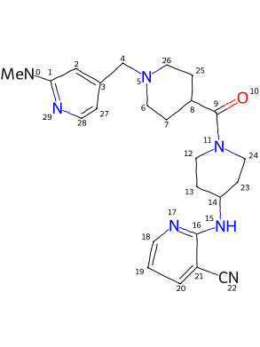 CNc1cc(CN2CCC(C(=O)N3CCC(Nc4ncccc4C#N)CC3)CC2)ccn1